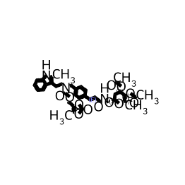 CC(=O)O[C@H]1[C@H](C)O[C@@H](ONC(=O)/C=C/c2ccc(CN(CCc3c(C)[nH]c4ccccc34)C(=O)OCc3oc(=O)oc3C)cc2)C[C@@H]1OC(C)=O